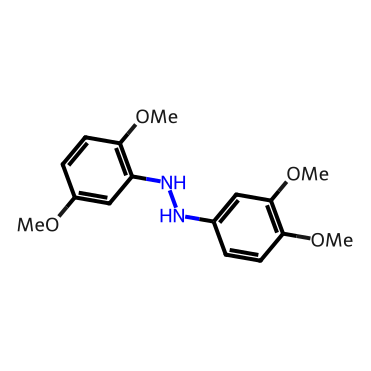 COc1ccc(OC)c(NNc2ccc(OC)c(OC)c2)c1